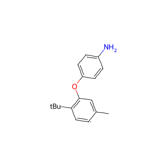 Cc1[c]cc(C(C)(C)C)c(Oc2ccc(N)cc2)c1